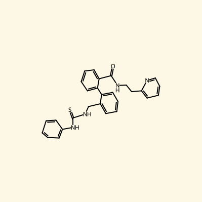 O=C(NCCc1ccccn1)c1ccccc1-c1ccccc1CNC(=S)Nc1ccccc1